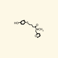 CN(Cc1ccco1)C(=O)CCCSc1ccc(O)cc1